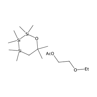 CC1(C)C[Si](C)(C)[Si](C)(C)[Si](C)(C)O1.CCOCCOC(C)=O